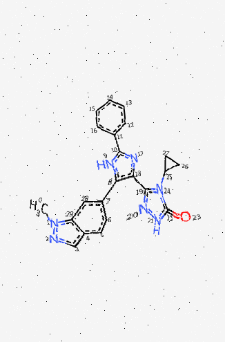 Cn1ncc2ccc(-c3[nH]c(-c4ccccc4)nc3-c3n[nH]c(=O)n3C3CC3)cc21